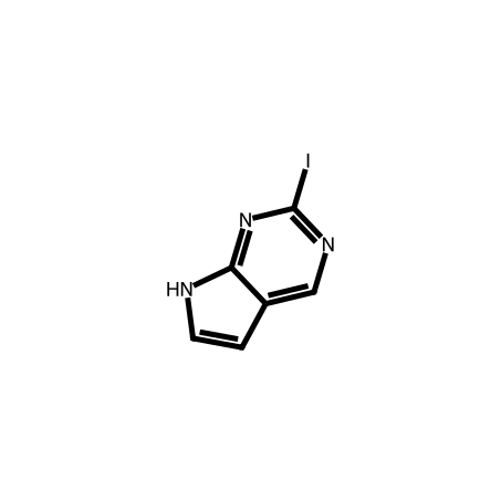 Ic1ncc2cc[nH]c2n1